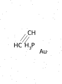 C#C.P.[Au]